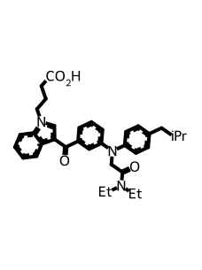 CCN(CC)C(=O)CN(c1ccc(CC(C)C)cc1)c1cccc(C(=O)c2cn(CCCC(=O)O)c3ccccc23)c1